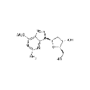 COc1nc(N)nc2c1ncn2[C@H]1C[C@H](O)[C@@H](CO)O1